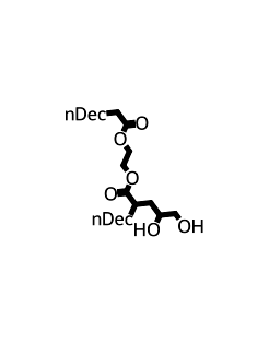 CCCCCCCCCCCC(=O)OCCOC(=O)C(CCCCCCCCCC)CC(O)CO